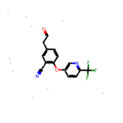 N#Cc1cc(CC=O)ccc1Oc1ccc(C(F)(F)F)nc1